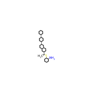 C=C(Sc1ccccc1N)c1ccc2cc(-c3ccc(-c4ccccc4)cc3)ccc2c1